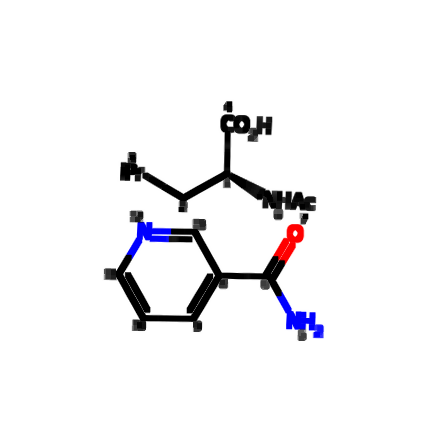 CC(=O)N[C@@H](CC(C)C)C(=O)O.NC(=O)c1cccnc1